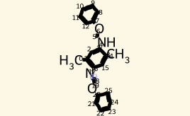 Cc1cc(NCOc2ccccc2)c(C)cc1/N=C/Oc1ccccc1